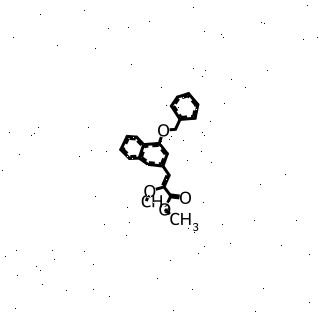 COC(=O)C(=Cc1cc(OCc2ccccc2)c2ccccc2c1)OC